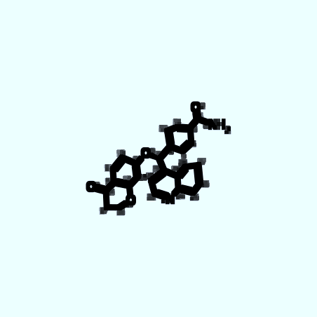 NC(=O)c1ccc([C@H](Oc2ccc3c(c2)OCCC3=O)c2ccnc3ccccc23)cc1